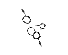 N#Cc1ccc([C@H]2CCc3cc(C#N)ccc3[C@H]2Cn2cncn2)cc1